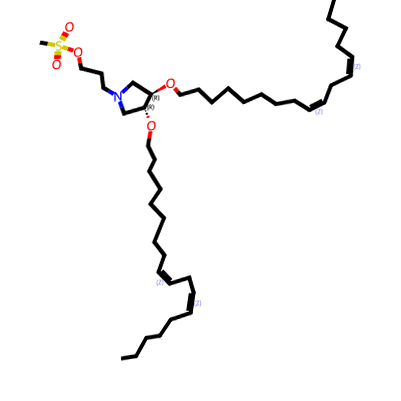 CCCCC/C=C\C/C=C\CCCCCCCCO[C@@H]1CN(CCCOS(C)(=O)=O)C[C@H]1OCCCCCCCC/C=C\C/C=C\CCCCC